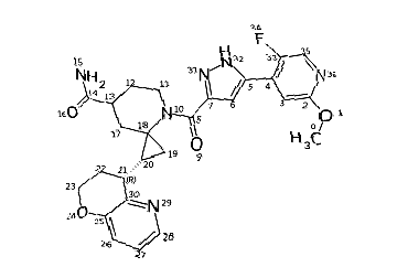 COc1cc(-c2cc(C(=O)N3CCC(C(N)=O)CC34CC4[C@H]3CCOc4cccnc43)n[nH]2)c(F)cn1